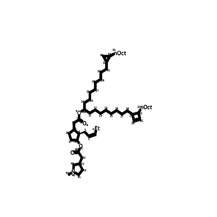 CC/C=C\C[C@@H]1C(CC(=O)OC(CCCCCCCCC2C=CC2CCCCCCCC)CCCCCCCCC2CC2CCCCCCCC)CCC1OC(=O)CC1CCN(C)C1